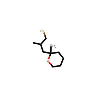 CC(CS)CC1([SiH3])CCCCO1